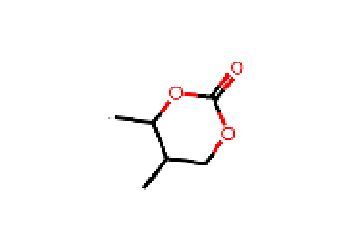 [CH2]C1OC(=O)OCC1C